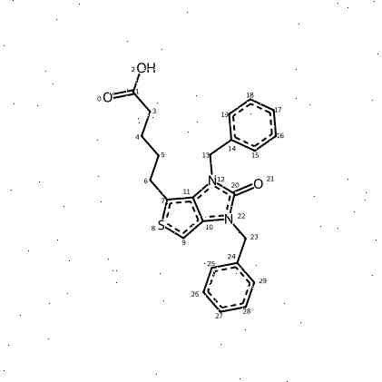 O=C(O)CCCCc1scc2c1n(Cc1ccccc1)c(=O)n2Cc1ccccc1